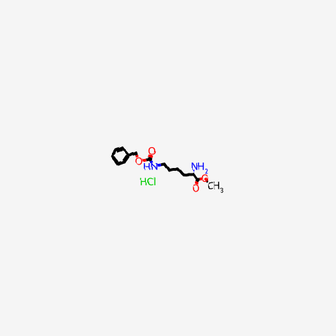 COC(=O)[C@@H](N)CCCCNC(=O)OCc1ccccc1.Cl